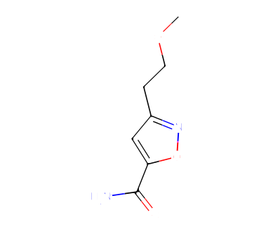 COCCc1cc(C(N)=O)on1